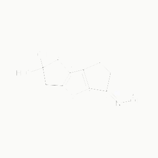 CC1(C)Cc2sc3c(c2C1)CC/C3=N\O